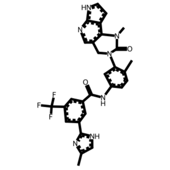 Cc1c[nH]c(-c2cc(C(=O)Nc3ccc(C)c(N4Cc5cnc6[nH]ccc6c5N(C)C4=O)c3)cc(C(F)(F)F)c2)n1